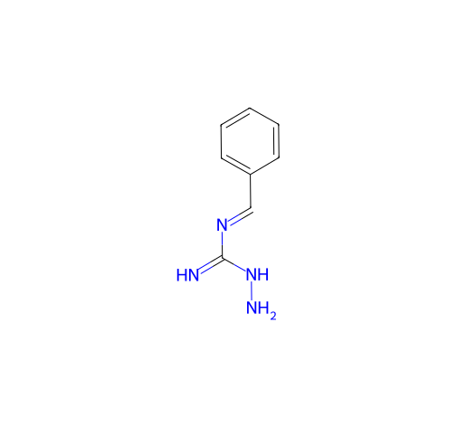 N=C(N=Cc1ccccc1)NN